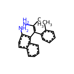 C/C(N)=C(\c1ccccc1C)c1c(N)ccc2ccccc12